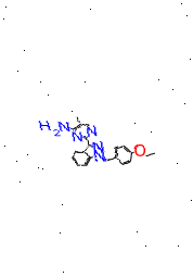 CCOc1ccc(Cn2nc(-c3ncc(C)c(N)n3)c3ccccc32)cc1